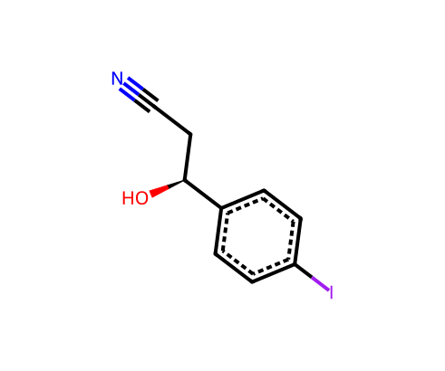 N#CC[C@H](O)c1ccc(I)cc1